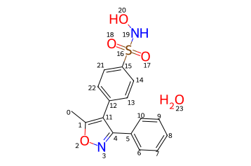 Cc1onc(-c2ccccc2)c1-c1ccc(S(=O)(=O)NO)cc1.O